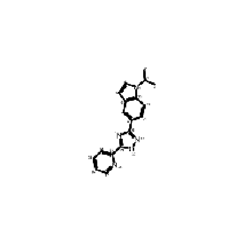 CC(C)n1ccc2cc(-c3noc(-c4ccccn4)n3)ccc21